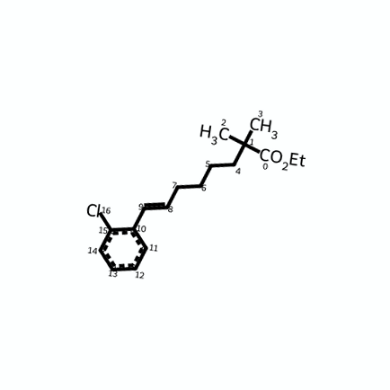 CCOC(=O)C(C)(C)CCCC/C=C/c1ccccc1Cl